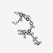 CCCCCNc1nc(N)nc2ccn(Cc3ccc(CN4CCN(C(=O)OCc5ccc(O[C@@H]6OC[C@@H](O)[C@H](O)[C@H]6O)c(NC(=O)CCNC(=O)CCN6C(=O)C=CC6=O)c5)CC4)cc3C)c12